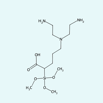 CO[Si](OC)(OC)C(CCCN(CCN)CCN)C(=O)O